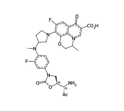 CC(=O)[C@@H](N)[C@@H]1CN(c2ccc(N(C)C3CCN(c4c(F)cc5c(=O)c(C(=O)O)cn6c5c4OCC6C)C3)c(F)c2)C(=O)O1